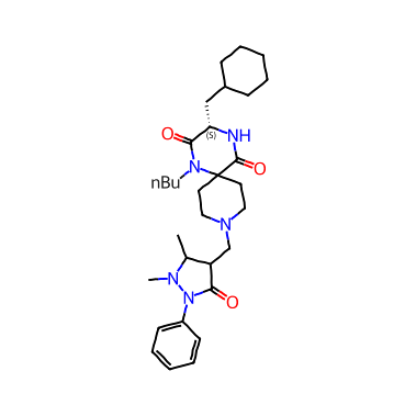 CCCCN1C(=O)[C@H](CC2CCCCC2)NC(=O)C12CCN(CC1C(=O)N(c3ccccc3)N(C)C1C)CC2